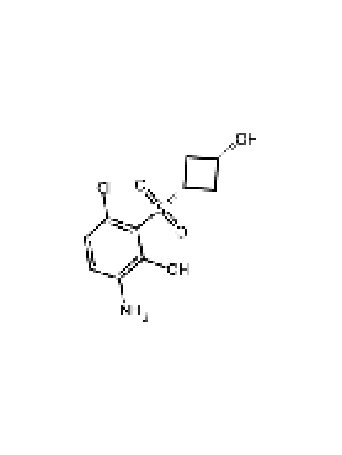 Nc1ccc(Cl)c(S(=O)(=O)[C@H]2C[C@@H](O)C2)c1O